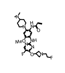 C=CC(=O)Nc1cc(Nc2ncc(F)c(OC3CN(CCF)C3)n2)c(OC)cc1N1CCC(N(C)C)CC1